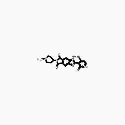 CNc1cc[nH]c(=O)c1-c1nc2cc3c(cc2[nH]1)C(=O)N(C1CCN(C)CC1)C3=O